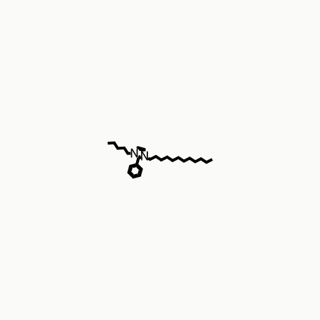 CCCCCCCCCCCCn1cc[n+](CCCCC)c1-c1ccccc1